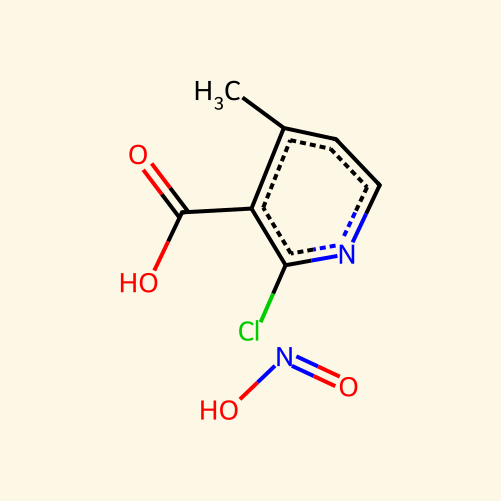 Cc1ccnc(Cl)c1C(=O)O.O=NO